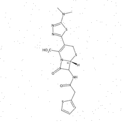 CN(C)c1nnc(C2=C(C(=O)O)N3C(=O)C(NC(=O)Cc4cccs4)[C@H]3SC2)s1